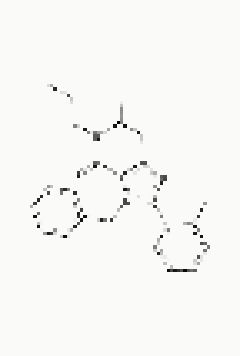 C=C1Cc2nc(-c3ccccc3C)n(Cc3ccccc3)c2C(=C)N1CCC